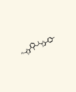 Cc1ccc(-c2csc(C(C)Cc3cccc(-c4csc(C(C)C)n4)c3C)n2)cc1